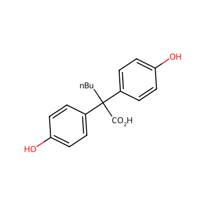 [CH2]CCCC(C(=O)O)(c1ccc(O)cc1)c1ccc(O)cc1